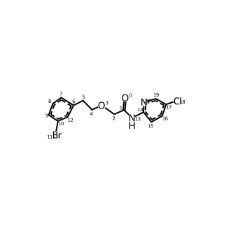 O=C(COCCc1cccc(Br)c1)Nc1ccc(Cl)cn1